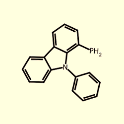 Pc1cccc2c3ccccc3n(-c3ccccc3)c12